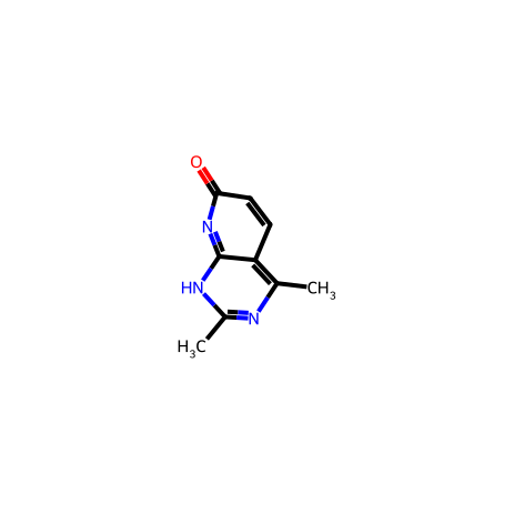 Cc1nc(C)c2ccc(=O)nc-2[nH]1